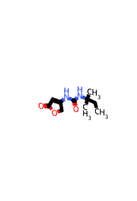 CCC(C)(C)NC(=O)NC1=CC(=O)OC1